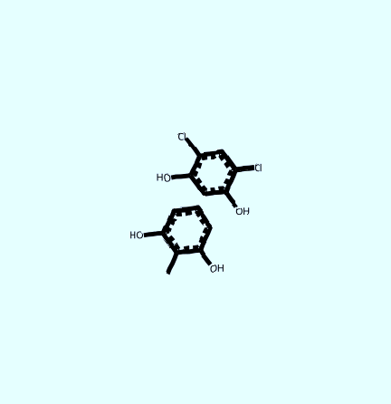 Cc1c(O)cccc1O.Oc1cc(O)c(Cl)cc1Cl